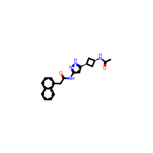 CC(=O)N[C@H]1C[C@@H](c2cc(NC(=O)Cc3cccc4ccccc34)n[nH]2)C1